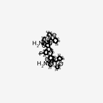 NC(=O)C1(c2ccc(CN(Cc3ccc(C4(C(N)=O)CCCN4C(=O)C(c4ccccc4)N4CCCC4=O)cc3)c3ccc(F)cc3)cc2)CCCN1C(=O)C(c1ccccc1)N1CCCC1=O